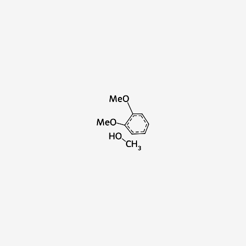 CO.COc1ccccc1OC